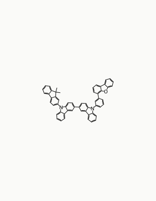 CC1(C)c2ccccc2-c2ccc(-n3c4ccccc4c4cc(-c5ccc6c(c5)c5ccccc5n6-c5cccc(-c6cccc7c6oc6ccccc67)c5)ccc43)cc21